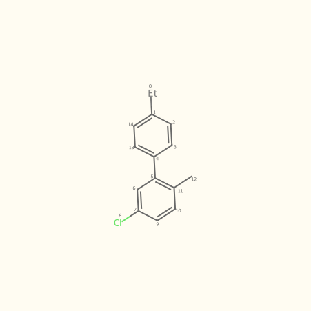 CCc1ccc(-c2cc(Cl)ccc2C)cc1